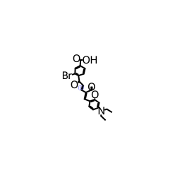 CCN(CC)c1ccc2cc(/C=C/C(=O)c3ccc(C(=O)O)cc3Br)c(=O)oc2c1